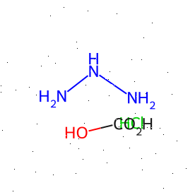 Cl.NNN.O=C(O)O